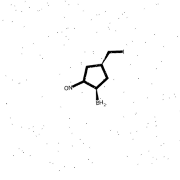 B[C@@H]1C[C@H](CI)CC1N=O